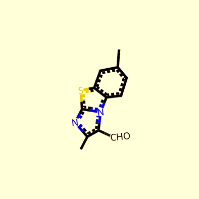 Cc1ccc2c(c1)sc1nc(C)c(C=O)n12